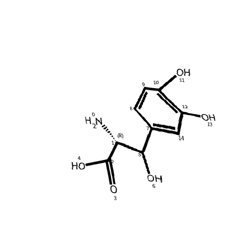 N[C@@H](C(=O)O)C(O)c1ccc(O)c(O)c1